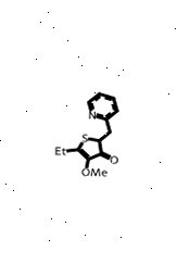 CCC1=C(OC)C(=O)C(Cc2ccccn2)S1